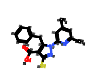 Cc1cc(C)nc(-n2nc(S)c(C(=O)O)c2Cc2ccccc2)c1